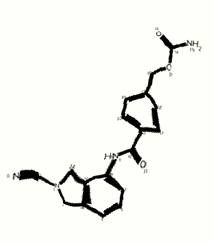 N#CN1Cc2cccc(NC(=O)c3ccc(COC(N)=O)cc3)c2C1